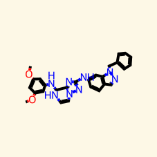 COc1cc(NC2NC=Cn3nc(Nc4ccc5cnn(Cc6ccccc6)c5c4)nc32)cc(OC)c1